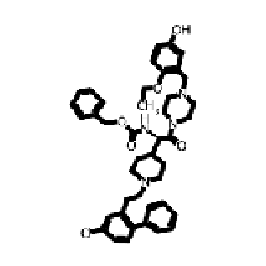 CCOc1ccc(O)cc1CN1CCN(C(=O)[C@H](NC(=O)OCc2ccccc2)C2CCN(CCc3cc(Cl)ccc3-c3ccccc3)CC2)CC1